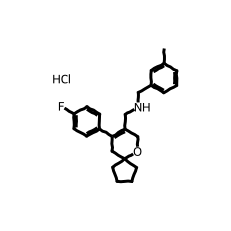 Cc1cccc(CNCC2=C(c3ccc(F)cc3)CC3(CCCC3)OC2)c1.Cl